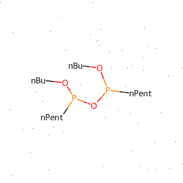 CCCCCP(OCCCC)OP(CCCCC)OCCCC